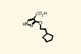 O=C(O)c1c[nH]nc1OCCC1CCCC1